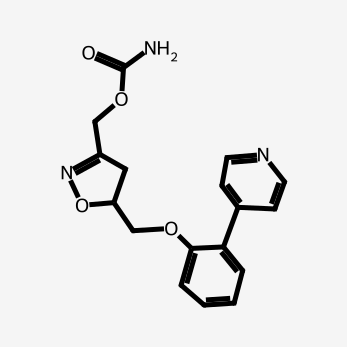 NC(=O)OCC1=NOC(COc2ccccc2-c2ccncc2)C1